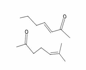 CC(=O)CCC=C(C)C.CCCC=CC(C)=O